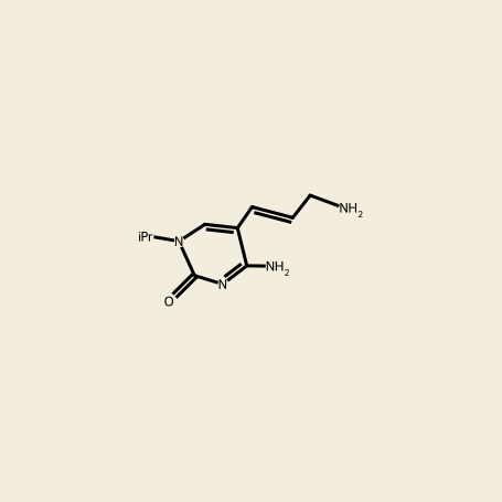 CC(C)n1cc(/C=C/CN)c(N)nc1=O